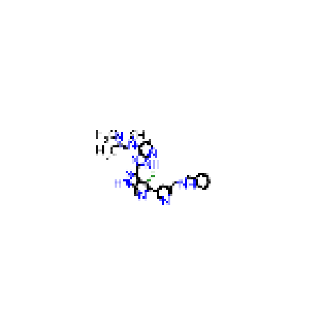 C=N/C(C)=C\N(C)c1ccnc2[nH]c(-c3n[nH]c4cnc(-c5cncc(CNCc6ccccc6)c5)c(F)c34)nc12